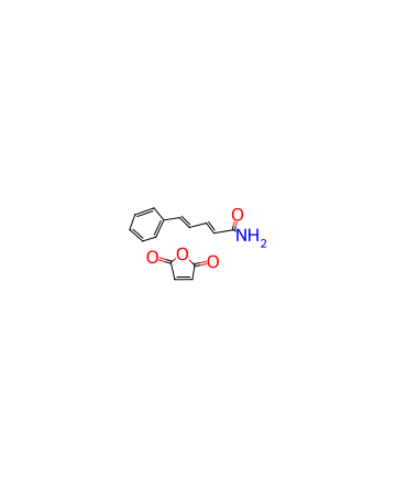 NC(=O)C=CC=Cc1ccccc1.O=C1C=CC(=O)O1